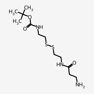 CC(C)(C)OC(=O)NCCSSCCNC(=O)CCN